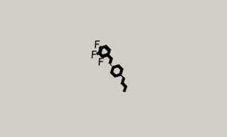 CCCC[C@H]1CC[C@H](CCc2ccc(F)c(F)c2F)CC1